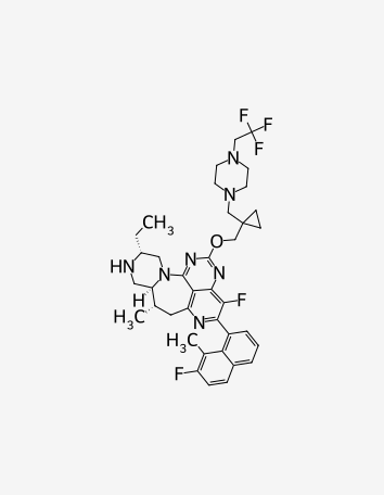 CC[C@@H]1CN2c3nc(OCC4(CN5CCN(CC(F)(F)F)CC5)CC4)nc4c(F)c(-c5cccc6ccc(F)c(C)c56)nc(c34)C[C@H](C)[C@H]2CN1